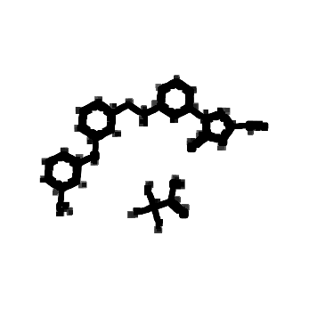 COc1nn(-c2cccc(NCc3cccc(Oc4cccc(C(F)(F)F)c4)c3)c2)c(=O)o1.O=C(O)C(F)(F)F